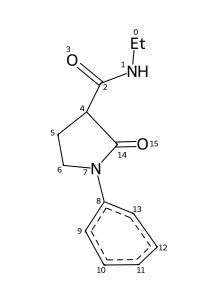 CCNC(=O)C1CCN(c2ccccc2)C1=O